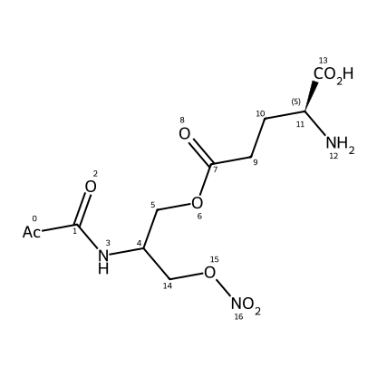 CC(=O)C(=O)NC(COC(=O)CC[C@H](N)C(=O)O)CO[N+](=O)[O-]